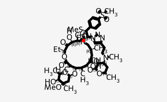 CC[C@H]1OC(=O)[C@H](C)[C@@H](O[C@H]2C[C@@](C)(OC)[C@@H](O)C(C)O2)[C@H](C)[C@@H](O[C@@H]2O[C@H](C)C[C@H](N(C)CCc3cn([C@H](CF)[C@H](SC)c4ccc(S(C)(=O)=O)cc4)nn3)[C@H]2O)[C@](C)(O)C[C@@H](C)CN(C)[C@H](C)[C@@H](O)C1=O